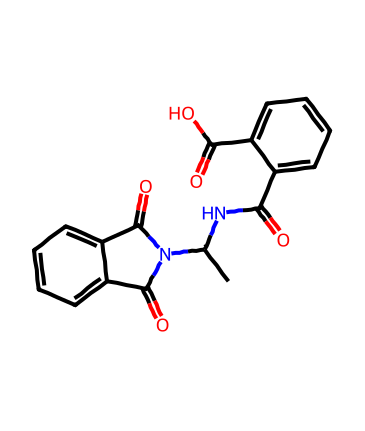 C[C](NC(=O)c1ccccc1C(=O)O)N1C(=O)c2ccccc2C1=O